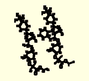 CCOC(=O)C(C)(C)Oc1ccc(OC(Cc2ccccc2)c2sc(-c3ccc(C(F)(F)F)cc3)nc2C)cc1C.CCOC(=O)C(C)(C)Oc1ccc(SC(C)c2sc(-c3ccc(C(F)(F)F)cc3)nc2C)cc1C